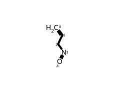 C=C[CH]N=O